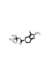 Cn1nc2c(c1I)CN(C(=O)OC(C)(C)C)CC2